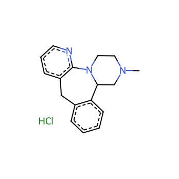 CN1CCN2c3ncccc3Cc3ccccc3C2C1.Cl